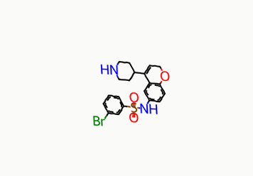 O=S(=O)(Nc1ccc2c(c1)C(C1CCNCC1)=CCO2)c1cccc(Br)c1